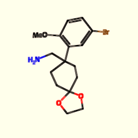 COc1ccc(Br)cc1C1(CN)CCC2(CC1)OCCO2